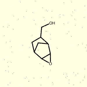 OCC1CC2CC1C1OC21